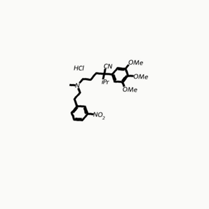 COc1cc(C(C#N)(CCCN(C)CCc2cccc([N+](=O)[O-])c2)C(C)C)cc(OC)c1OC.Cl